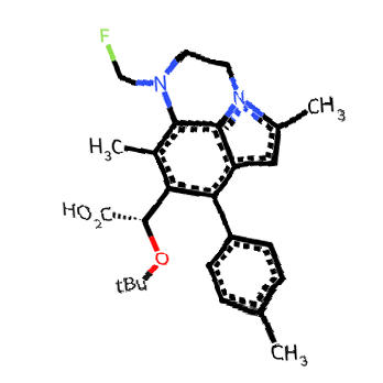 Cc1ccc(-c2c([C@H](OC(C)(C)C)C(=O)O)c(C)c3c4c2cc(C)n4CCN3CF)cc1